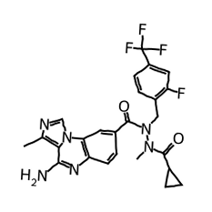 Cc1ncn2c1c(N)nc1ccc(C(=O)N(Cc3ccc(C(F)(F)F)cc3F)N(C)C(=O)C3CC3)cc12